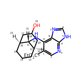 CCOC(=O)c1cnc2[nH]cnc2c1N[C@@H]1[C@@H]2CCC[C@H]1CC(O)C2